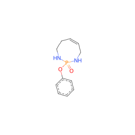 O=P1(Oc2ccccc2)NC/C=C\CCN1